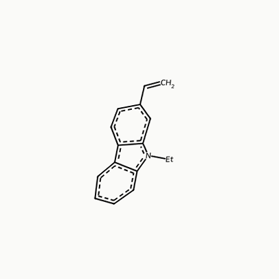 C=Cc1ccc2c3ccccc3n(CC)c2c1